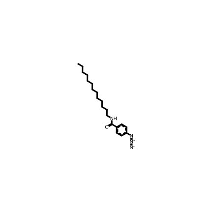 CCCCCCCCCCCCCNC(=O)c1ccc(N=[N+]=[N-])cc1